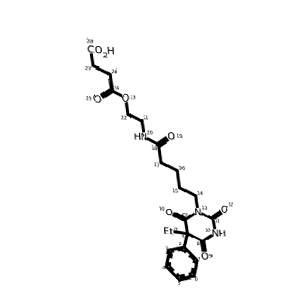 CCC1(c2ccccc2)C(=O)NC(=O)N(CCCCC(=O)NCCOC(=O)CCC(=O)O)C1=O